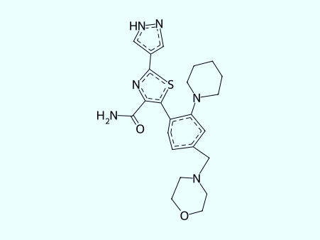 NC(=O)c1nc(-c2cn[nH]c2)sc1-c1ccc(CN2CCOCC2)cc1N1CCCCC1